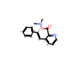 CN(C)OC(=O)c1ncccc1C=Cc1ccccc1